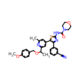 COc1ccc(COC(C)c2cc(-c3sc(NC(=O)N4CCOCC4)nc3-c3cccc(C#N)c3)cc(C)n2)cc1